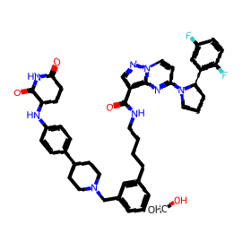 O=C1CCC(Nc2ccc(C3CCN(Cc4cccc(CCCCNC(=O)c5cnn6ccc(N7CCC[C@@H]7c7cc(F)ccc7F)nc56)c4)CC3)cc2)C(=O)N1.O=CO